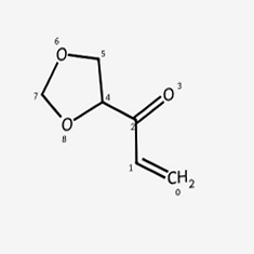 C=CC(=O)C1COCO1